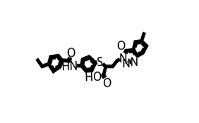 CCc1ccc(C(=O)Nc2ccc(SC(CCn3nnc4ccc(C)cc4c3=O)C(=O)O)cc2)cc1